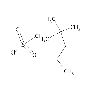 CCCC(C)(C)C.O=S(=O)(Cl)Cl